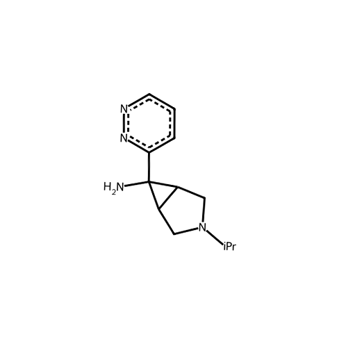 CC(C)N1CC2C(C1)C2(N)c1cccnn1